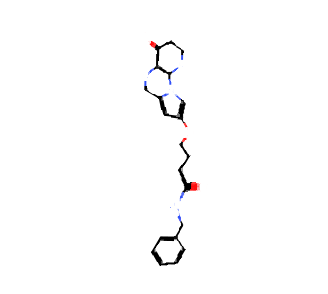 O=C(CCCOc1cc2n(c1)C1NCCC(=O)C1NC2)NCc1ccccc1